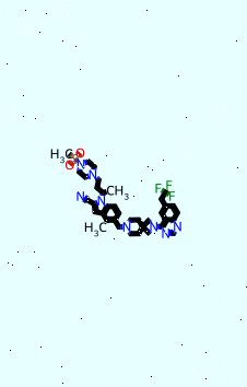 Cc1c(CN2CCC3(CC2)CN(c2ncnc4ccc(CC(F)(F)F)cc24)C3)ccc2c1cc(C#N)n2C(C)CCN1CCN(S(C)(=O)=O)CC1